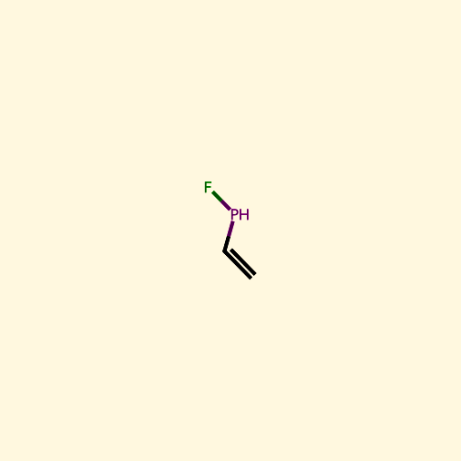 C=CPF